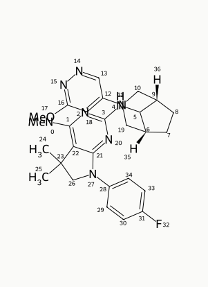 CNc1nc(NC2[C@@H]3CC[C@H]2CN(c2cnnc(OC)c2)C3)nc2c1C(C)(C)CN2c1ccc(F)cc1